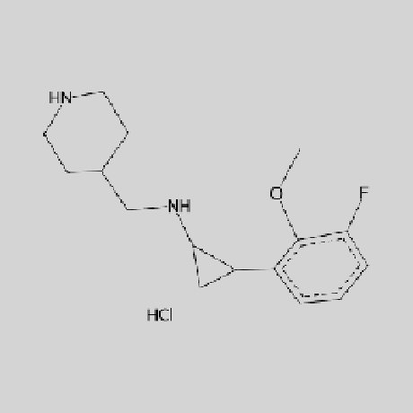 COc1c(F)cccc1C1CC1NCC1CCNCC1.Cl